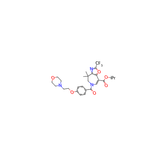 CC(C)OC(=O)C1=CN(C(=O)c2ccc(OCCN3CCOCC3)cc2)CC(C)(C)c2nc(C(F)(F)F)oc21